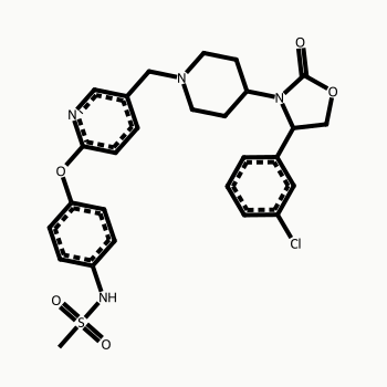 CS(=O)(=O)Nc1ccc(Oc2ccc(CN3CCC(N4C(=O)OCC4c4cccc(Cl)c4)CC3)cn2)cc1